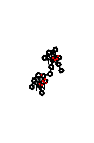 C1=CC(c2cccc(-c3ccccc3-n3c4ccccc4c4ccc5c6ccccc6n(-c6nc(-c7ccccc7)nc(-c7ccccc7)n6)c5c43)c2)CC(c2ccc(-c3nc(-c4ccccc4)nc(-n4c5ccccc5c5ccc6c7ccccc7n(-c7ccc(-c8ccc(-c9ccccc9)cc8)cc7)c6c54)n3)cc2)=C1